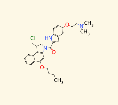 CCCCOc1cc2c(c3ccccc13)C(CCl)CN2C(=O)c1cc2cc(OCCN(C)C)ccc2[nH]1